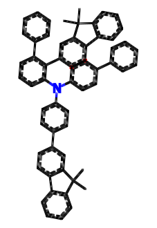 CC1(C)c2ccccc2-c2ccc(-c3ccc(N(c4ccc(-c5ccccc5)cc4)c4cccc(-c5ccccc5)c4-c4ccc5c(c4)C(C)(C)c4ccccc4-5)cc3)cc21